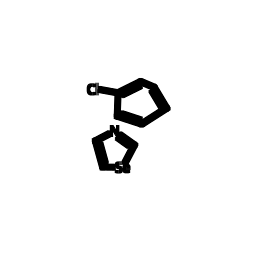 Clc1ccccc1.c1c[se]cn1